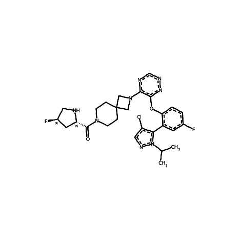 CC(C)n1ncc(Cl)c1-c1cc(F)ccc1Oc1nncnc1N1CC2(CCN(C(=O)[C@@H]3C[C@@H](F)CN3)CC2)C1